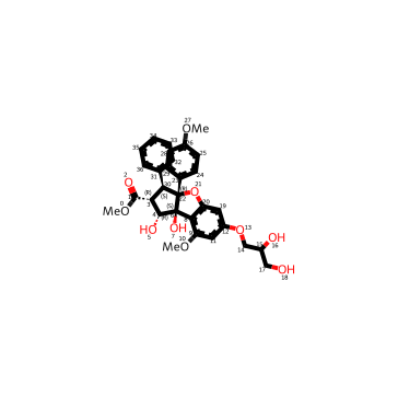 COC(=O)[C@H]1[C@@H](O)[C@@]2(O)c3c(OC)cc(OCC(O)CO)cc3O[C@@]2(c2ccc(OC)cc2)[C@@H]1c1ccccc1